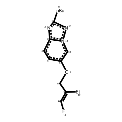 CCCCc1nc2ccc(OC/C(=C/F)CC)cn2n1